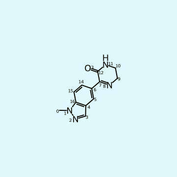 Cn1ncc2cc(C3=NCCNC3=O)ccc21